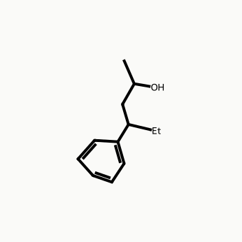 CCC(CC(C)O)c1ccccc1